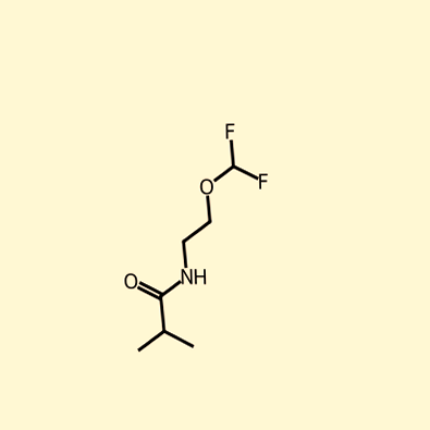 CC(C)C(=O)NCCOC(F)F